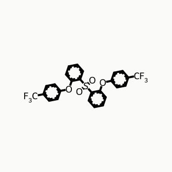 O=S(=O)(c1ccccc1Oc1ccc(C(F)(F)F)cc1)c1ccccc1Oc1ccc(C(F)(F)F)cc1